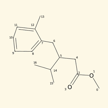 COC(=O)CC(Cc1ccccc1C)C(C)C